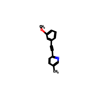 COc1cccc(C#Cc2ccc(C)cn2)c1